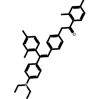 CCN(CC)c1ccc(C(=Cc2ccc(CC(=O)c3ccc(C)cc3C)cc2)c2ccc(C)cc2C)cc1